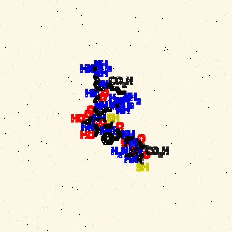 N=C(N)NCCC[C@H](NC(=O)CNC(=O)[C@H](CCCNC(=N)N)NC(=O)[C@H](CO)NC(=O)[C@H](CO)NC(=O)[C@H](CS)NC(=O)[C@H](Cc1ccccc1)NC(=O)CNC(=O)[C@H](CC(=O)O)NC(=O)[C@H](CS)NC(=O)CN)C(=O)N[C@@H](CCCCN)C(=O)O